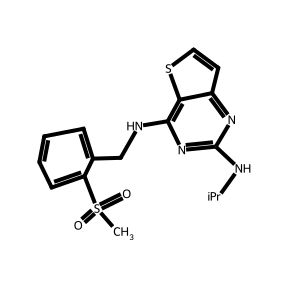 CC(C)Nc1nc(NCc2ccccc2S(C)(=O)=O)c2sccc2n1